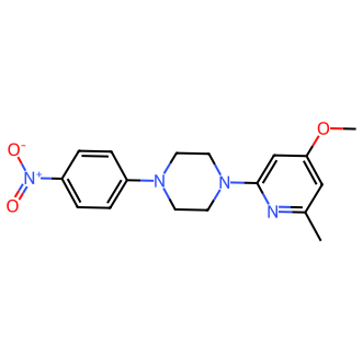 COc1cc(C)nc(N2CCN(c3ccc([N+](=O)[O-])cc3)CC2)c1